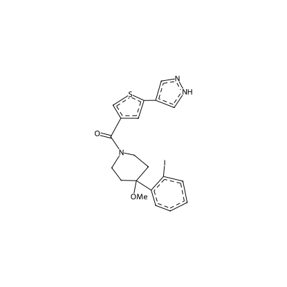 COC1(c2ccccc2I)CCN(C(=O)c2csc(-c3cn[nH]c3)c2)CC1